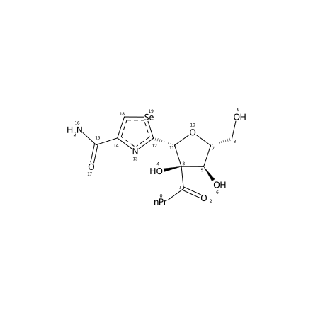 CCCC(=O)[C@@]1(O)[C@H](O)[C@@H](CO)O[C@H]1c1nc(C(N)=O)c[se]1